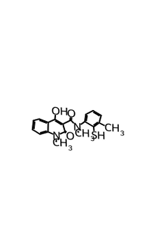 Cc1cccc(N(C)C(=O)c2c(O)c3ccccc3n(C)c2=O)c1S